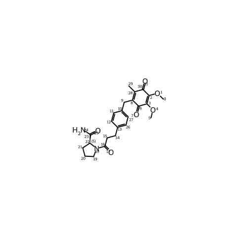 COC1=C(OC)C(=O)C(Cc2ccc(CCC(=O)N3CCC[C@H]3C(N)=O)cc2)=C(C)C1=O